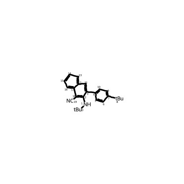 CC(C)(C)Nc1c(-c2ccc(C(C)(C)C)cc2)cc2ccccc2c1C#N